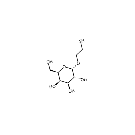 OC[C@H]1O[C@H](OCCS)[C@H](O)[C@@H](O)[C@H]1O